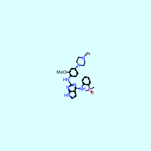 COc1cc(N2CCN(C(C)C)CC2)ccc1Nc1nc(Nc2ccccc2P(C)(C)=O)c2cc[nH]c2n1